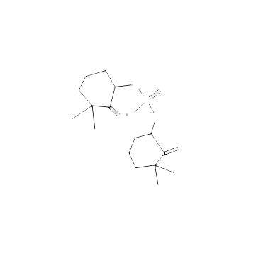 CCCP(=O)(OC1CCCC(C)(C)C1=O)OC1CCCC(C)(C)C1=O